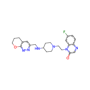 O=c1cnc2ccc(F)cc2n1CCN1CCC(NCc2cc3c(nn2)OCCC3)CC1